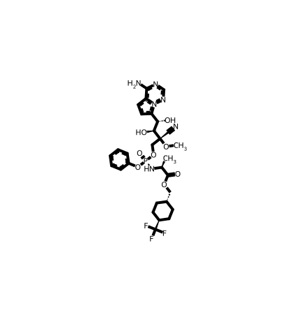 CO[C@](C#N)(CO[P@@](=O)(N[C@@H](C)C(=O)OC[C@H]1CC[C@H](C(F)(F)F)CC1)Oc1ccccc1)[C@@H](O)[C@@H](O)c1ccc2c(N)ncnn12